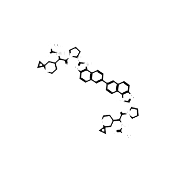 COC(=O)NC(C(=O)N1CCC[C@H]1c1nc2ccc3cc(-c4ccc5c(ccc6nc([C@@H]7CCCN7C(=O)C(NC(=O)OC)C7CCOC8(CC8)C7)[nH]c65)c4)ccc3c2[nH]1)C1CCOC2(CC2)C1